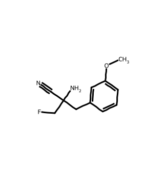 COc1cccc(CC(N)(C#N)CF)c1